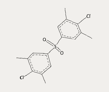 Cc1cc(S(=O)(=O)c2cc(C)c(Cl)c(C)c2)cc(C)c1Cl